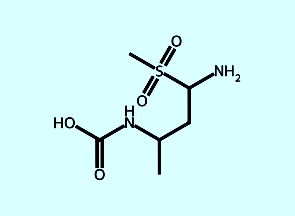 CC(CC(N)S(C)(=O)=O)NC(=O)O